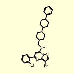 Clc1ccccc1-c1cc(NCC2CCN(C3CCC(c4ccccc4)CC3)CC2)n2ncc(Br)c2n1